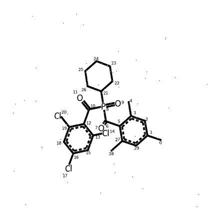 Cc1cc(C)c(C(=O)P(=O)(C(=O)c2c(Cl)cc(Cl)cc2Cl)C2CCCCC2)c(C)c1